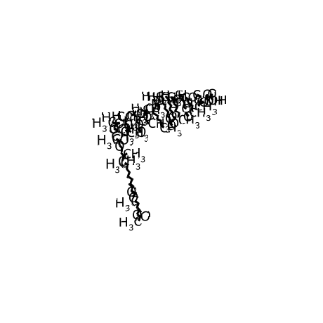 CC(=O)OC(C)C.CC(=O)OCC(C)C.CC(=O)OCCC(C)C.CC(C)CCOC=O.CCC(C)OC(C)=O.CCCCCCC(C)ON=O.CCCCCCCCOC=O.CCCCCCCOC=O.CCCCCCOC=O.CCCCCOC(C)=O.CCCCCOC=O.CCCCOC(C)=O.CCCOC(C)=O.CCOC(C)=O.O=CO.O=CO